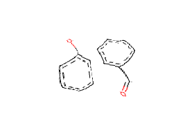 O=[C]c1ccccc1.[O]c1ccccc1